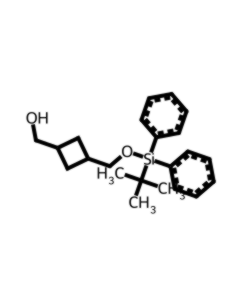 CC(C)(C)[Si](OCC1CC(CO)C1)(c1ccccc1)c1ccccc1